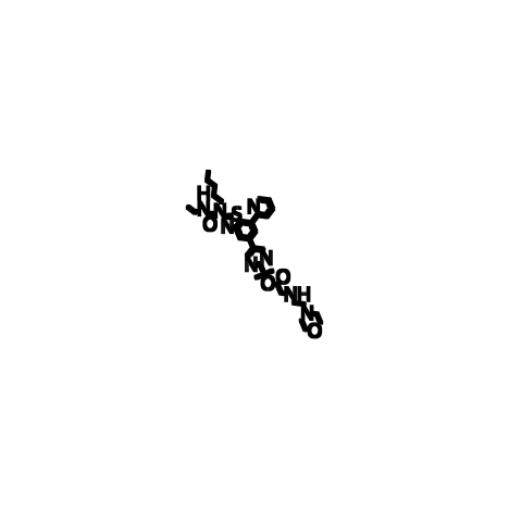 CCCCCN(C(=O)NCC)c1nc2cc(-c3cnc(C(C)(C)OC(=O)CNCCN4CCOCC4)nc3)cc(-c3ccccn3)c2s1